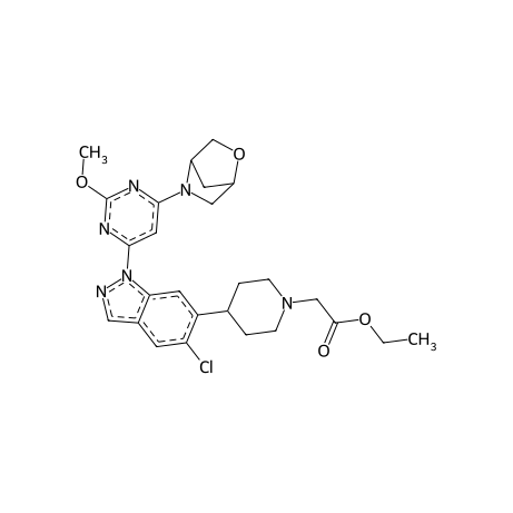 CCOC(=O)CN1CCC(c2cc3c(cnn3-c3cc(N4CC5CC4CO5)nc(OC)n3)cc2Cl)CC1